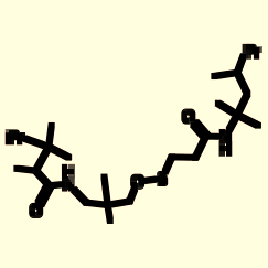 CC(C)C(C)CC(C)(C)NC(=O)CCSOCC(C)(C)CNC(=O)C(C)C(C)(C)C(C)C